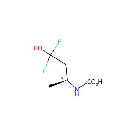 C[C@@H](CC(O)(F)F)NC(=O)O